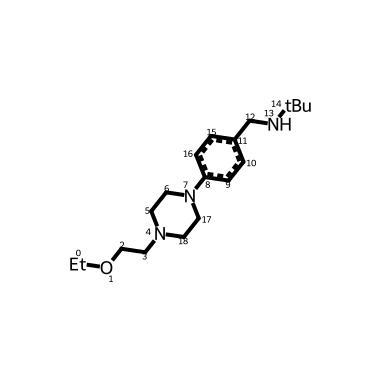 CCOCCN1CCN(c2ccc(CNC(C)(C)C)cc2)CC1